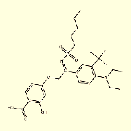 CCCCCS(=O)(=O)N=C(COc1ccc(C(=O)O)c(O)c1)c1ccc(N(CC)CC)c(C(C)(C)C)c1